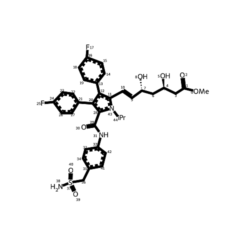 COC(=O)C[C@H](O)C[C@@H](O)/C=C/c1c(-c2ccc(F)cc2)c(-c2ccc(F)cc2)c(C(=O)Nc2ccc(CS(N)(=O)=O)cc2)n1C(C)C